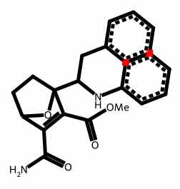 COC(=O)C1=C(C(N)=O)C2CCC1(C(Cc1ccccc1)Nc1ccccc1)O2